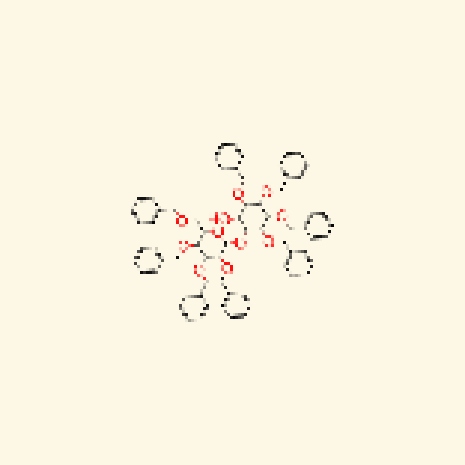 O[C@@H]1C(O[C@@H]2OC(COCc3ccccc3)[C@H](OCc3ccccc3)[C@@H](OCc3ccccc3)C2OCc2ccccc2)C(OCc2ccccc2)[C@@H](OCc2ccccc2)[C@@H](OCc2ccccc2)C1OCc1ccccc1